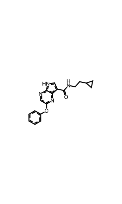 O=C(NCCC1CC1)c1c[nH]c2ncc(Oc3ccccc3)nc12